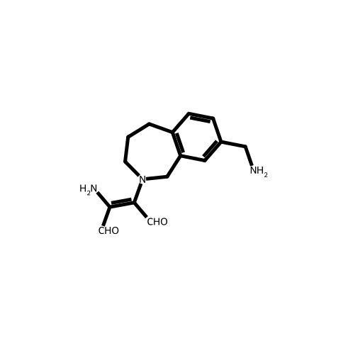 NCc1ccc2c(c1)CN(/C(C=O)=C(\N)C=O)CCC2